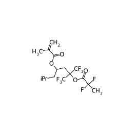 C=C(C)C(=O)OC(CC(C)C)CC(OC(=O)C(C)(F)F)(C(F)(F)F)C(F)(F)F